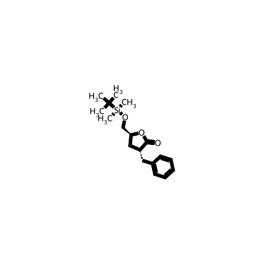 CC(C)(C)[Si](C)(C)OC[C@@H]1C[C@@H](Cc2ccccc2)C(=O)O1